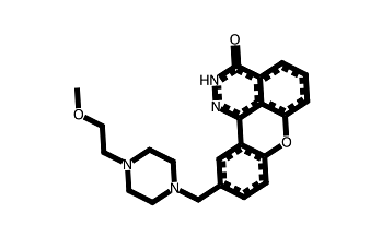 COCCN1CCN(Cc2ccc3c(c2)-c2n[nH]c(=O)c4cccc(c24)O3)CC1